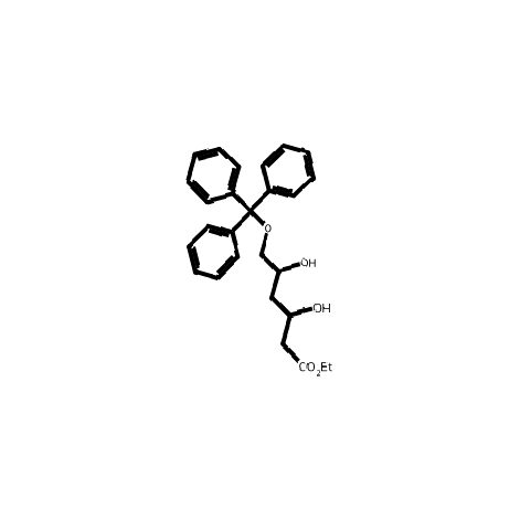 CCOC(=O)CC(O)CC(O)COC(c1ccccc1)(c1ccccc1)c1ccccc1